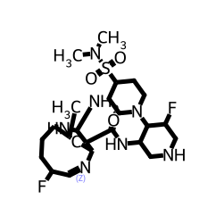 CC1CC2/N=C\C(F)CCC1NC(N)C2C(=O)NC1CNCC(F)C1N1CCC(S(=O)(=O)N(C)C)CC1